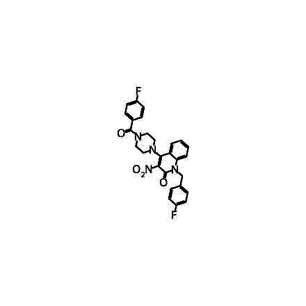 O=C(c1ccc(F)cc1)N1CCN(c2c([N+](=O)[O-])c(=O)n(Cc3ccc(F)cc3)c3ccccc23)CC1